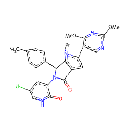 COc1ncc(-c2cc3c(n2C(C)C)C(c2ccc(C)cc2)N(c2cc(Cl)c[nH]c2=O)C3=O)c(OC)n1